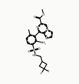 COC(=O)c1cn2ccnc2c(-c2c(C)ccc(S(=O)(=O)NCC3CC(F)(F)C3)c2N)n1